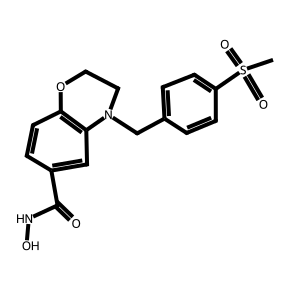 CS(=O)(=O)c1ccc(CN2CCOc3ccc(C(=O)NO)cc32)cc1